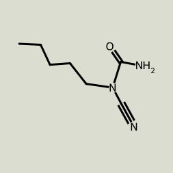 CCCCCN(C#N)C(N)=O